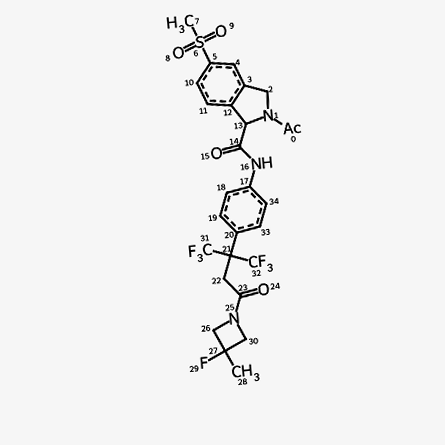 CC(=O)N1Cc2cc(S(C)(=O)=O)ccc2C1C(=O)Nc1ccc(C(CC(=O)N2CC(C)(F)C2)(C(F)(F)F)C(F)(F)F)cc1